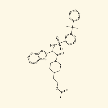 CC(=O)OCCC1CCN(C(=O)C(NS(=O)(=O)c2cccc(C(C)(C)c3ccccc3)c2)c2cc3ccccc3s2)CC1